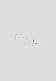 CC(C)S(=O)(=O)NCC1CCCO1